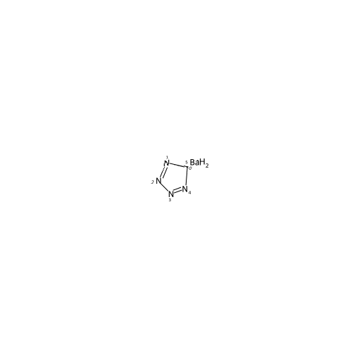 C1N=NN=N1.[BaH2]